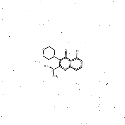 C[C@H](N)c1nc2cccc(Cl)c2c(=O)n1N1CCOCC1